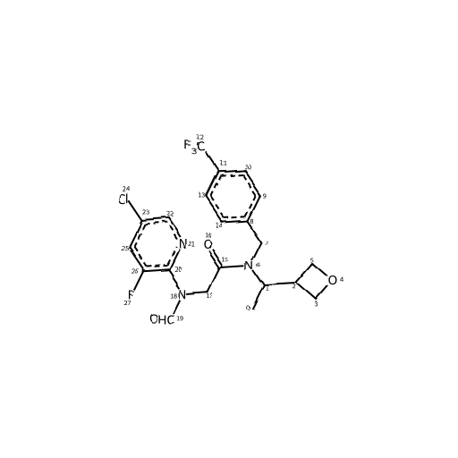 CC(C1COC1)N(Cc1ccc(C(F)(F)F)cc1)C(=O)CN(C=O)c1ncc(Cl)cc1F